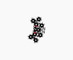 Cc1ccccc1N(c1ccc2c3ccccc3n(-c3ccccc3)c2c1)c1c(C#N)c(C#N)c(N(c2ccc3c4ccccc4n(-c4ccccc4)c3c2)c2ccccc2C)c2c1C(C)(C)SC2(C)C